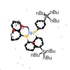 CCCC[Si](CCCC)(CCCC)c1ccc(P(c2ccc([Si](CCCC)(CCCC)CCCC)cc2)N(Cc2ccccc2)P(c2ccccc2)c2ccccc2OC(F)(F)F)cc1